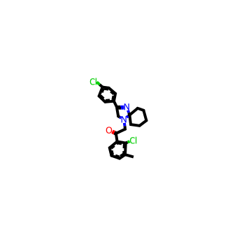 Cc1cccc(C(=O)CN2CC(c3ccc(Cl)cc3)=NC23CCCCC3)c1Cl